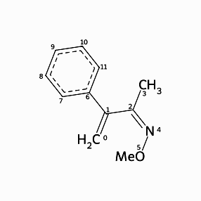 C=C(/C(C)=N\OC)c1ccccc1